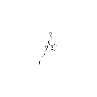 CCCCCCCOP(CCC#N)N(C(C)C)C(C)C